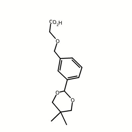 CC1(C)COC(c2cccc(COCC(=O)O)c2)OC1